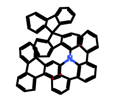 c1ccc(-c2cccc(-c3ccccc3)c2N(c2ccc3c4ccccc4c4ccccc4c3c2)c2cccc3c2-c2ccccc2C32c3ccccc3-c3ccccc32)cc1